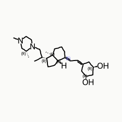 CC(CN1CCN(C)C[C@H]1C)[C@H]1CC[C@H]2/C(=C/C=C3C[C@@H](O)C[C@H](O)C3)CCC[C@]12C